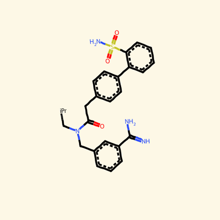 CC(C)CN(Cc1cccc(C(=N)N)c1)C(=O)Cc1ccc(-c2ccccc2S(N)(=O)=O)cc1